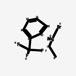 C[CH2][Mg][Br].FC(F)(F)c1ccccc1